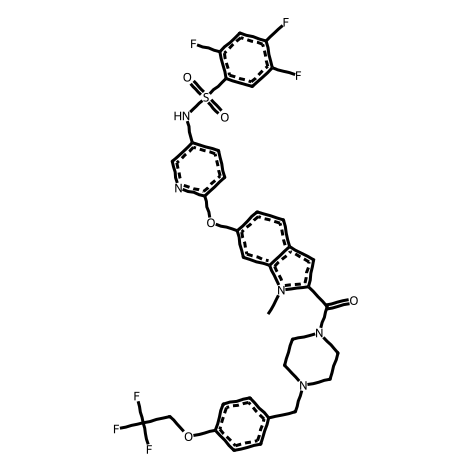 Cn1c(C(=O)N2CCN(Cc3ccc(OCC(F)(F)F)cc3)CC2)cc2ccc(Oc3ccc(NS(=O)(=O)c4cc(F)c(F)cc4F)cn3)cc21